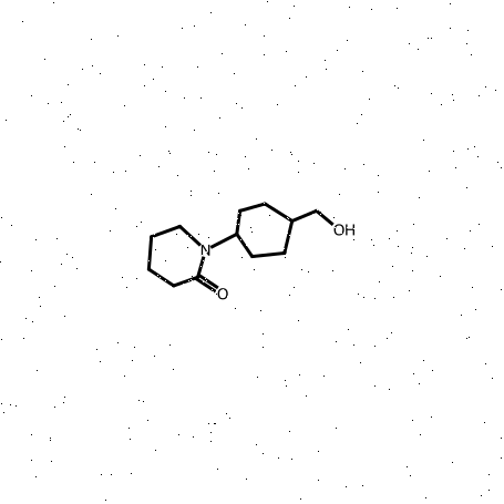 O=C1CCCCN1C1CCC(CO)CC1